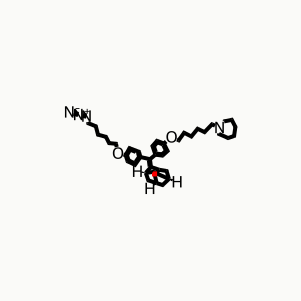 [N-]=[N+]=NCCCCCCOc1ccc(C(c2ccc(OCCCCCCN3CCCCCC3)cc2)=C2C3C[C@H]4C[C@@H](C3)C[C@H]2C4)cc1